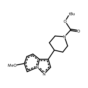 COc1ccc2c(C3CCN(C(=O)OC(C)(C)C)CC3)cnn2c1